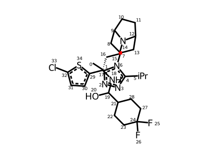 Cc1nnc(C(C)C)n1C1CC2CCC(C1)N2CC[C@H](NC(O)C1CCC(F)(F)CC1)c1ccc(Cl)s1